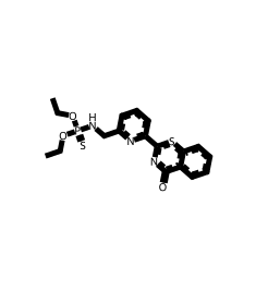 CCOP(=S)(NCc1cccc(-c2nc(=O)c3ccccc3s2)n1)OCC